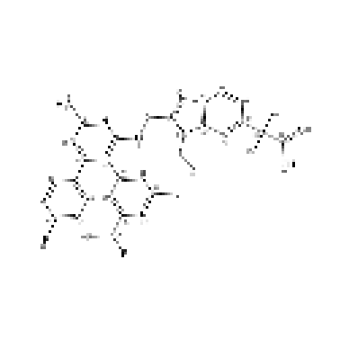 CCn1c(COc2nc(N)nc(-c3ccc(F)cc3)c2-c2cc(C)nc(C(F)F)c2)nc2ccc(C(C)(C)C(=O)O)nc21